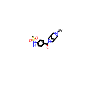 CC(C)N1CC2CC(CN(C(=O)c3ccc(NS(C)(=O)=O)cc3)C2)C1